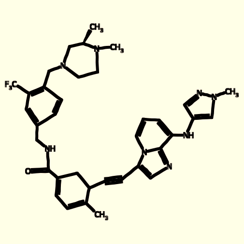 CC1=CC=C(C(=O)NCc2ccc(CN3CCN(C)[C@H](C)C3)c(C(F)(F)F)c2)CC1C#Cc1cnc2c(Nc3cnn(C)c3)cccn12